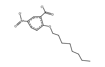 CCCCCCCCOc1ccc([N+](=O)[O-])cc1C(=O)Cl